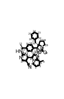 Cc1cccn2c(-c3nc(N[C@@H](C)c4ccc(C(O)[C@@]5(Cc6ccccc6)CCCN5C(=O)O)cc4)ncc3C#N)cnc12